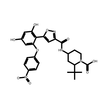 CC(C)(C)C1CC(NC(=O)c2cc(-c3c(O)cc(O)cc3Oc3ccc([N+](=O)[O-])cc3)on2)CCN1C(=O)O